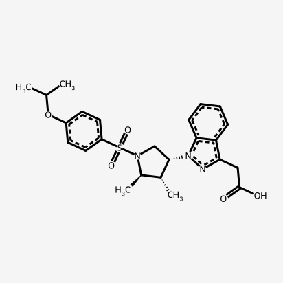 CC(C)Oc1ccc(S(=O)(=O)N2C[C@H](n3nc(CC(=O)O)c4ccccc43)[C@H](C)[C@H]2C)cc1